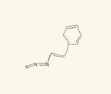 [N-]=[N+]=NC=Cc1ccccc1